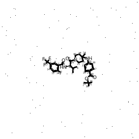 CC(C)[C@@H](NC(=O)c1cc(C(F)(F)F)ccc1F)C(=O)N1CCC(C)(Nc2ccc(C(=O)OC(C)(C)C)cc2)CC1